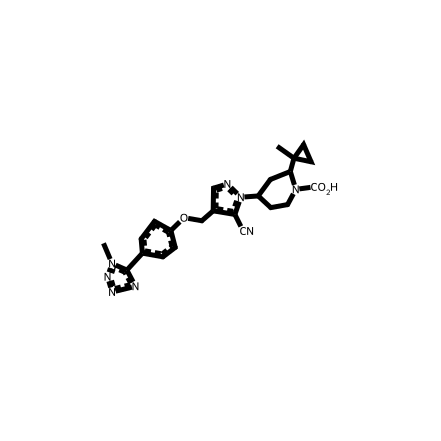 Cn1nnnc1-c1ccc(OCc2cnn(C3CCN(C(=O)O)C(C4(C)CC4)C3)c2C#N)cc1